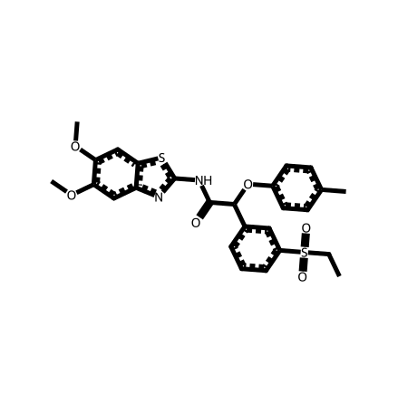 CCS(=O)(=O)c1cccc(C(Oc2ccc(C)cc2)C(=O)Nc2nc3cc(OC)c(OC)cc3s2)c1